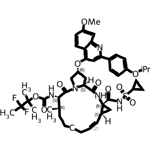 COc1ccc2c(O[C@@H]3C[C@H]4C(=O)N[C@]5(C(=O)NS(=O)(=O)C6CC6)C[C@H]5/C=C\CCCC[C@@H](C)[C@H](NC(=O)OC(C)(C)C(C)(F)F)C(=O)N4C3)cc(-c3ccc(OC(C)C)cc3)nc2c1